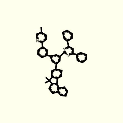 Cc1ccc(-c2cccc(-c3cc(-c4ccc5c(c4)C(C)(C)c4ccc6ccccc6c4-5)cc(-c4nc(-c5ccccc5)cc(-c5ccccc5)n4)c3)c2)nc1